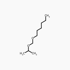 CCCCCCOCOC(C)C